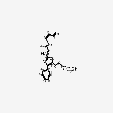 C=C/C=C\N=C(/C)CNc1nc(-c2ccccn2)c(CCC(=O)OCC)s1